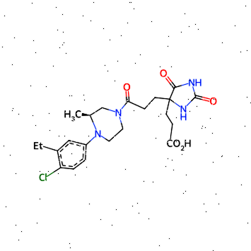 CCc1cc(N2CCN(C(=O)CCC3(CCC(=O)O)NC(=O)NC3=O)C[C@@H]2C)ccc1Cl